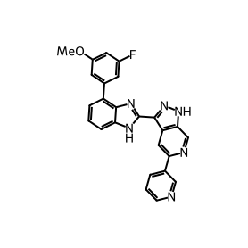 COc1cc(F)cc(-c2cccc3[nH]c(-c4n[nH]c5cnc(-c6cccnc6)cc45)nc23)c1